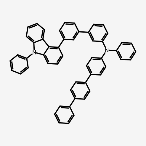 c1ccc(-c2ccc(-c3ccc(N(c4ccccc4)c4cccc(-c5cccc(-c6cccc7c6c6ccccc6n7-c6ccccc6)c5)c4)cc3)cc2)cc1